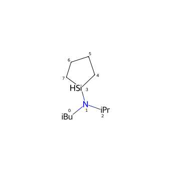 CCC(C)N(C(C)C)[SiH]1CCCC1